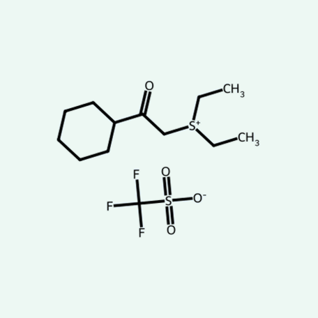 CC[S+](CC)CC(=O)C1CCCCC1.O=S(=O)([O-])C(F)(F)F